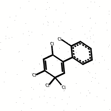 ClC1=CC(Cl)C(c2ccccc2Cl)=CC1(Cl)Cl